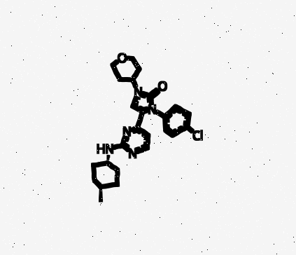 C[C@H]1CC[C@H](Nc2nccc(-c3cn(C4CCOCC4)c(=O)n3-c3ccc(Cl)cc3)n2)CC1